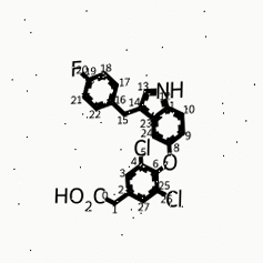 O=C(O)Cc1cc(Cl)c(Oc2ccc3[nH]cc(Cc4ccc(F)cc4)c3c2)c(Cl)c1